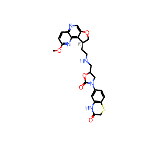 COc1ccc2ncc3c(c2n1)[C@H](CCNCC1CN(c2ccc4c(c2)NC(=O)CS4)C(=O)O1)CO3